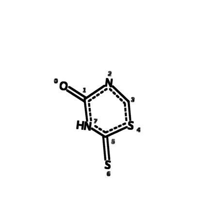 O=c1ncsc(=S)[nH]1